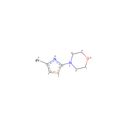 CC(C)c1csc(N2CCOCC2)n1